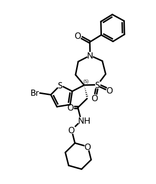 O=C(C[C@]1(c2ccc(Br)s2)CCN(C(=O)c2ccccc2)CCS1(=O)=O)NOC1CCCCO1